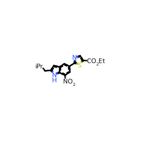 CCOC(=O)c1cnc(-c2cc([N+](=O)[O-])c3[nH]c(CC(C)C)cc3c2)s1